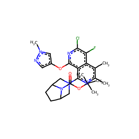 Cc1nc(N2CC3CCC(C2)N3C(=O)OC(C)(C)C)c2c(Oc3cnn(C)c3)nc(Cl)c(F)c2c1C